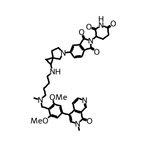 COc1cc(-c2cn(C)c(=O)c3cnccc23)cc(OC)c1CN(C)CCCCNC1CC12CCN(c1ccc3c(c1)C(=O)N(C1CCC(=O)NC1=O)C3=O)C2